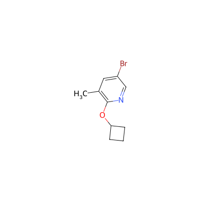 Cc1cc(Br)cnc1OC1CCC1